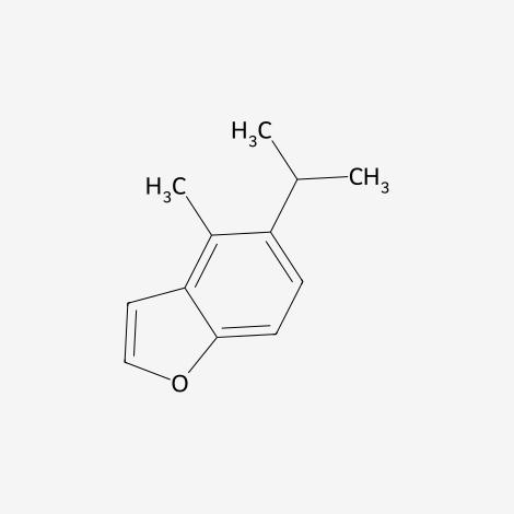 Cc1c(C(C)C)ccc2occc12